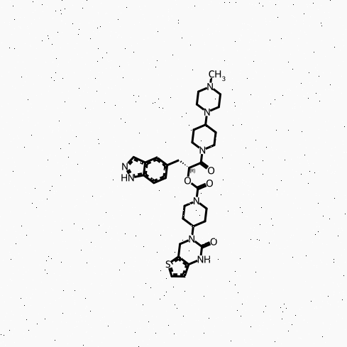 CN1CCN(C2CCN(C(=O)[C@@H](Cc3ccc4[nH]ncc4c3)OC(=O)N3CCC(N4Cc5sccc5NC4=O)CC3)CC2)CC1